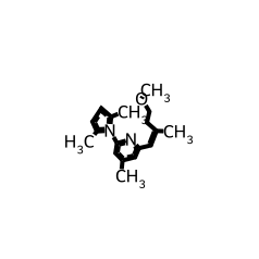 COCC/C(C)=C\c1cc(C)cc(-n2c(C)ccc2C)n1